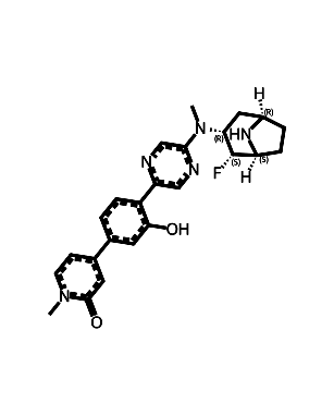 CN(c1cnc(-c2ccc(-c3ccn(C)c(=O)c3)cc2O)cn1)[C@@H]1C[C@H]2CC[C@H](N2)[C@@H]1F